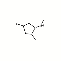 CNN1CC(F)CC1C